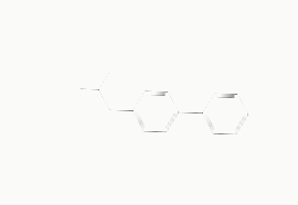 CC(Cc1ccc(-c2ccccc2)cc1)C(=O)O